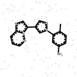 Cc1ccc(N)cc1-n1cc(-c2cnc3cccnn23)cn1